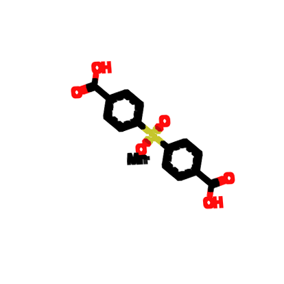 O=C(O)c1ccc(S(=O)(=O)c2ccc(C(=O)O)cc2)cc1.[Mn]